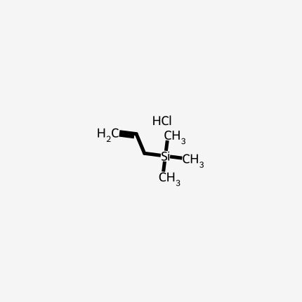 C=CC[Si](C)(C)C.Cl